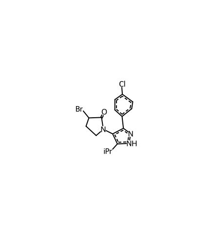 CC(C)c1[nH]nc(-c2ccc(Cl)cc2)c1N1CCC(Br)C1=O